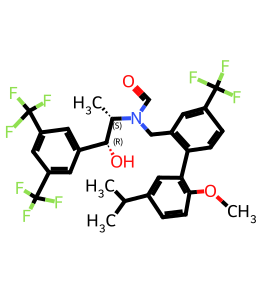 COc1ccc(C(C)C)cc1-c1ccc(C(F)(F)F)cc1CN(C=O)[C@@H](C)[C@H](O)c1cc(C(F)(F)F)cc(C(F)(F)F)c1